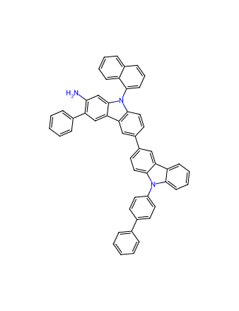 Nc1cc2c(cc1-c1ccccc1)c1cc(-c3ccc4c(c3)c3ccccc3n4-c3ccc(-c4ccccc4)cc3)ccc1n2-c1cccc2ccccc12